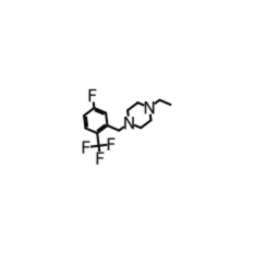 CCN1CCN(Cc2cc(F)ccc2C(F)(F)F)CC1